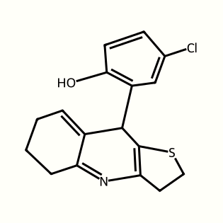 Oc1ccc(Cl)cc1C1C2=CCCCC2=NC2=C1SCC2